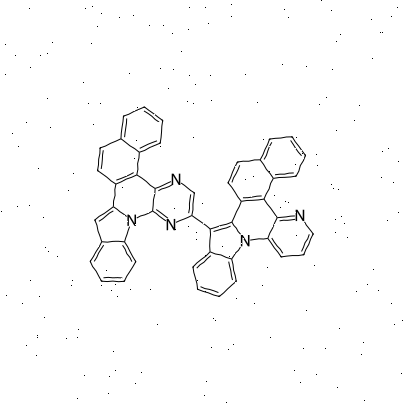 c1ccc2c(c1)ccc1c2c2ncccc2n2c3ccccc3c(-c3cnc4c5c6ccccc6ccc5c5cc6ccccc6n5c4n3)c12